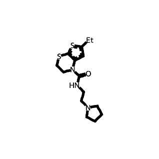 CCc1cc2c(s1)SCCN2C(=O)NCCN1CCCC1